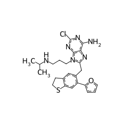 CC(C)NCCCn1c(Cc2cc3c(cc2-c2ccco2)SCC3)nc2c(N)nc(Cl)nc21